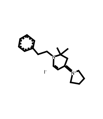 CC1(C)CC(=[N+]2CCCC2)C=CN1CCc1ccccc1.[I-]